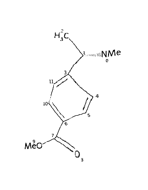 CN[C@@H](C)c1ccc(C(=O)OC)cc1